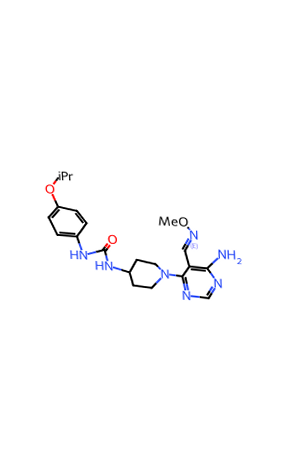 CO/N=C/c1c(N)ncnc1N1CCC(NC(=O)Nc2ccc(OC(C)C)cc2)CC1